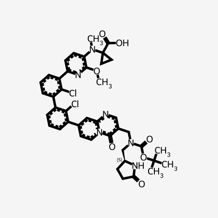 COc1nc(-c2cccc(-c3cccc(-c4ccn5c(=O)c(CN(C[C@@H]6CCC(=O)N6)C(=O)OC(C)(C)C)cnc5c4)c3Cl)c2Cl)ccc1N(C)C1(C(=O)O)CC1